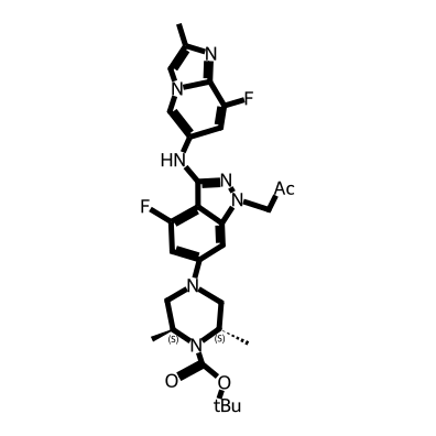 CC(=O)Cn1nc(Nc2cc(F)c3nc(C)cn3c2)c2c(F)cc(N3C[C@H](C)N(C(=O)OC(C)(C)C)[C@@H](C)C3)cc21